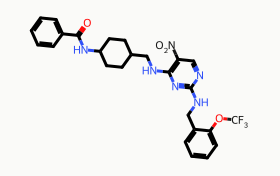 O=C(NC1CCC(CNc2nc(NCc3ccccc3OC(F)(F)F)ncc2[N+](=O)[O-])CC1)c1ccccc1